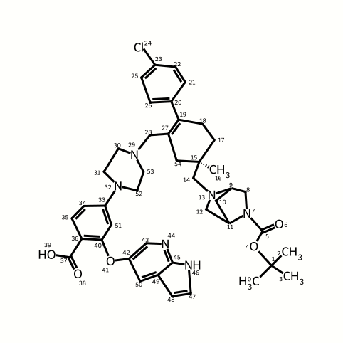 CC(C)(C)OC(=O)N1CC2CC1CN2C[C@]1(C)CCC(c2ccc(Cl)cc2)=C(CN2CCN(c3ccc(C(=O)O)c(Oc4cnc5[nH]ccc5c4)c3)CC2)C1